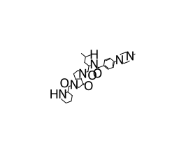 CC(C)CC(NC(=O)c1ccc(N2CCN(C)CC2)cc1)C(=O)N1CCC2C1C(=O)CN2C(=O)C1CCCCN1